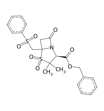 CC1(C)[C@H](C(=O)OCc2ccccc2)N2C(=O)CC2(CS(=O)(=O)c2ccccc2)S1(=O)=O